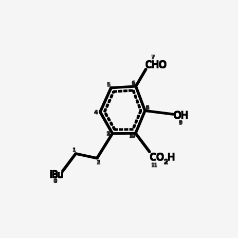 CCC(C)CCc1ccc(C=O)c(O)c1C(=O)O